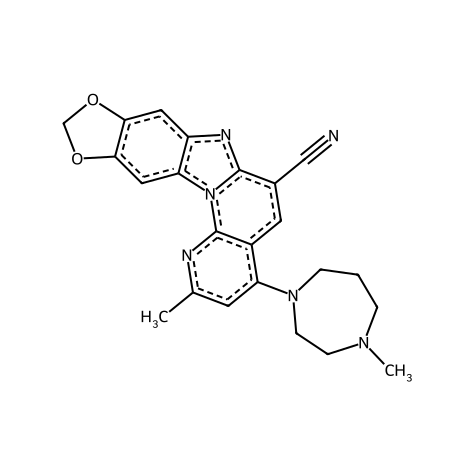 Cc1cc(N2CCCN(C)CC2)c2cc(C#N)c3nc4cc5c(cc4n3c2n1)OCO5